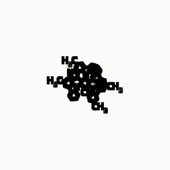 Cc1ccc2c(c1)c1ccccc1n2-c1c(C#N)c(-n2c3ccccc3c3cc(C)ccc32)c(-n2c3ccccc3c3cc(C)ccc32)c(-n2c3ccccc3c3cc(C)ccc32)c1-c1ccncc1